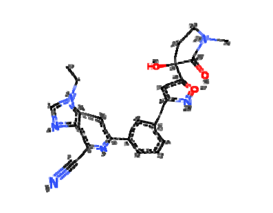 CCn1cnc2c(C#N)nc(-c3cccc(-c4cc([C@]5(O)CCN(C)C5=O)on4)c3)cc21